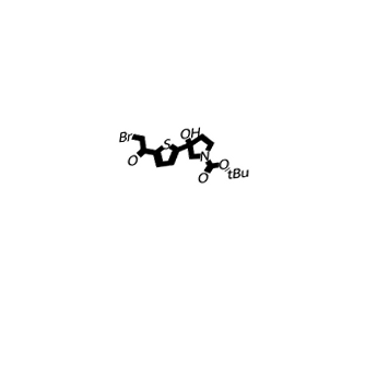 CC(C)(C)OC(=O)N1CCC(O)(c2ccc(C(=O)CBr)s2)C1